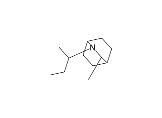 CCC(C)N1C2CCC(CC2)C1C